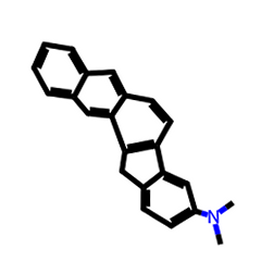 CN(C)c1ccc2c(c1)-c1ccc3cc4ccccc4cc3c1C2